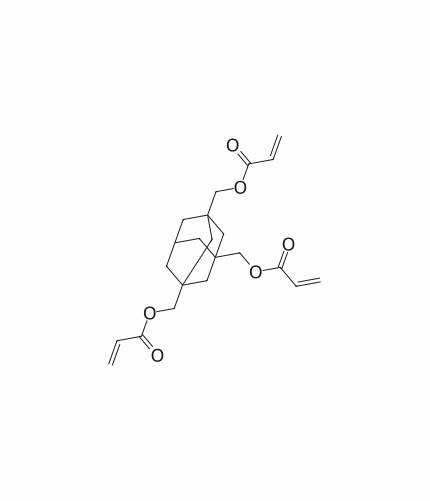 C=CC(=O)OCC12CC3CC(COC(=O)C=C)(C1)CC(COC(=O)C=C)(C3)C2